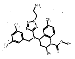 CC(C)OC(=O)N1c2ccc(C(F)(F)F)cc2C(N(Cc2cc(C(F)(F)F)cc(C(F)(F)F)c2)c2nnn(CCN)n2)CC1C(C)C